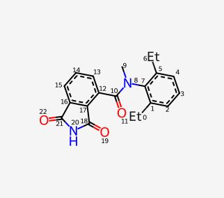 CCc1cccc(CC)c1N(C)C(=O)c1cccc2c1C(=O)NC2=O